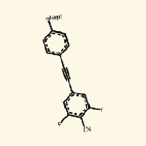 CCCCCCCc1ccc(C#Cc2cc(F)c(C#N)c(F)c2)cc1